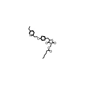 CCCCCC(=O)OCN1C(=O)SC(Cc2ccc(OCCc3ccc(CC)cn3)cc2)C1=O